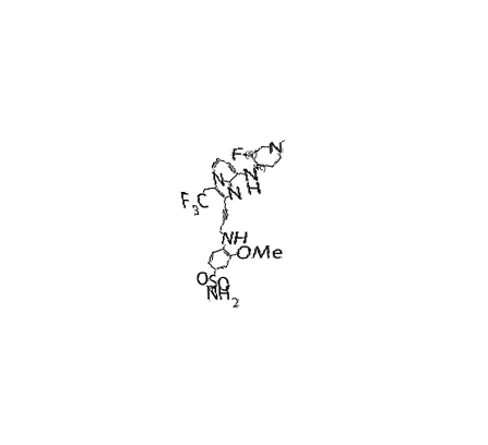 COc1cc(S(N)(=O)=O)ccc1NCC#Cc1nc2c(N[C@@H]3CCN(C)C[C@@H]3F)cccn2c1CC(F)(F)F